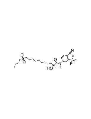 CCCCS(=O)(=O)CCCCCCCCC[C@](C)(O)C(=O)Nc1ccc(C#N)c(C(F)(F)F)c1